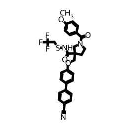 COc1ccc(C(=O)N2CCC(COc3ccc(-c4ccc(C#N)cc4)cc3)(C(=O)NSCC(F)(F)F)C2)cc1